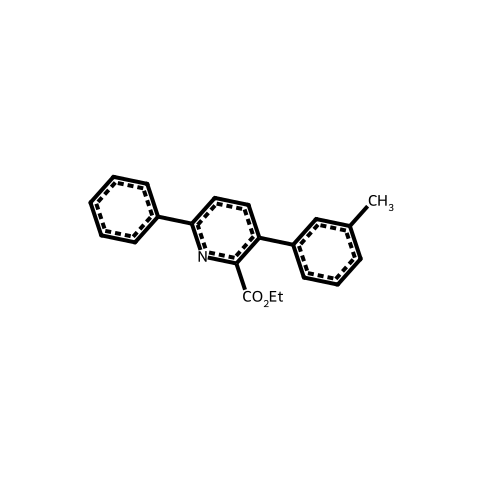 CCOC(=O)c1nc(-c2ccccc2)ccc1-c1cccc(C)c1